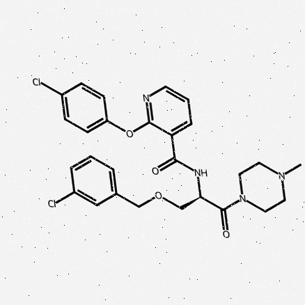 CN1CCN(C(=O)[C@@H](COCc2cccc(Cl)c2)NC(=O)c2cccnc2Oc2ccc(Cl)cc2)CC1